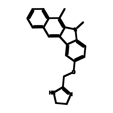 Cc1c2ccccc2cc2c3cc(OCC4=NCCN4)ccc3n(C)c12